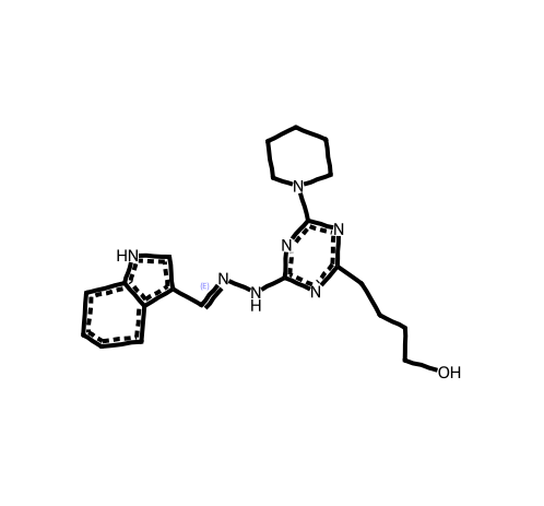 OCCCCc1nc(N/N=C/c2c[nH]c3ccccc23)nc(N2CCCCC2)n1